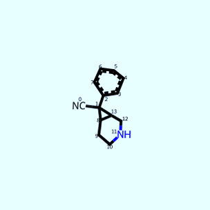 N#CC1(c2ccccc2)C2CCNCC21